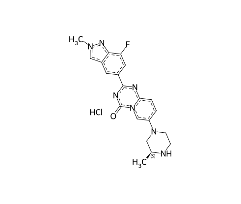 C[C@H]1CN(c2ccc3nc(-c4cc(F)c5nn(C)cc5c4)nc(=O)n3c2)CCN1.Cl